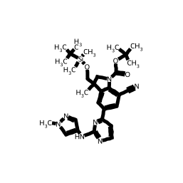 Cn1cc(Nc2nccc(-c3cc(C#N)c4c(c3)C(C)(CO[Si](C)(C)C(C)(C)C)CN4C(=O)OC(C)(C)C)n2)cn1